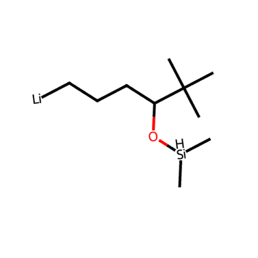 [Li][CH2]CCC(O[SiH](C)C)C(C)(C)C